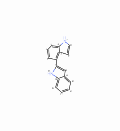 [c]1c(-c2cccc3[nH]ccc23)[nH]c2ccccc12